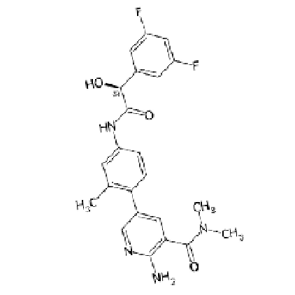 Cc1cc(NC(=O)[C@@H](O)c2cc(F)cc(F)c2)ccc1-c1cnc(N)c(C(=O)N(C)C)c1